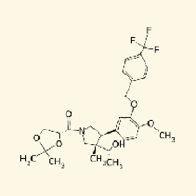 COc1ccc([C@@H]2CN(C(=O)[C@H]3COC(C)(C)O3)C[C@@]2(C)[C@@H](C)O)cc1OCc1ccc(C(F)(F)F)cc1